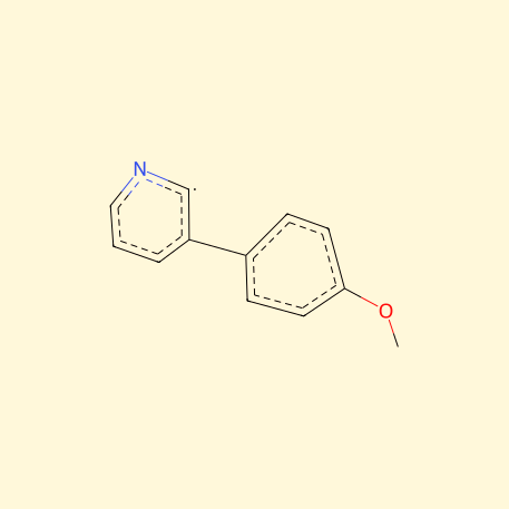 COc1ccc(-c2[c]nccc2)cc1